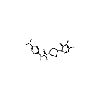 CN(C)c1ccc(N(C)S(=O)(=O)N2CCC(n3ncc(Cl)c(Cl)c3=O)CC2)cn1